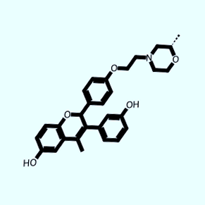 CC1=C(c2cccc(O)c2)C(c2ccc(OCCN3CCO[C@@H](C)C3)cc2)Oc2ccc(O)cc21